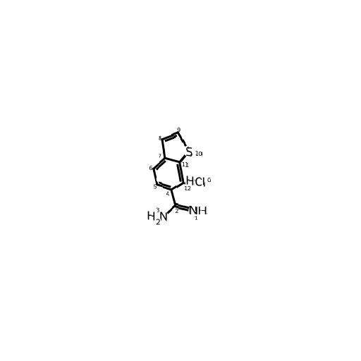 Cl.N=C(N)c1ccc2ccsc2c1